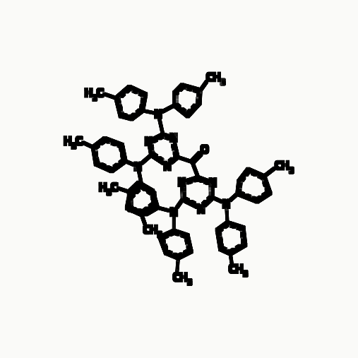 Cc1ccc(N(c2ccc(C)cc2)c2nc(C(=O)c3nc(N(c4ccc(C)cc4)c4ccc(C)cc4)nc(N(c4ccc(C)cc4)c4ccc(C)cc4)n3)nc(N(c3ccc(C)cc3)c3ccc(C)cc3)n2)cc1